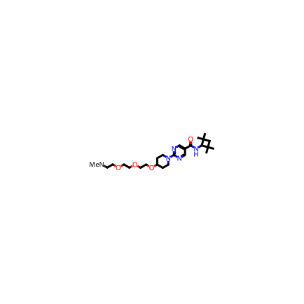 CNCCOCCOCCOC1CCN(c2ncc(C(=O)NC3C(C)(C)CC3(C)C)cn2)CC1